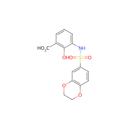 O=C(O)c1cccc(NS(=O)(=O)c2ccc3c(c2)OCCO3)c1O